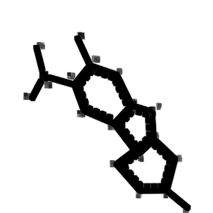 Cc1ccc2c(c1)sc1cc(C)c(N(C)C)cc12